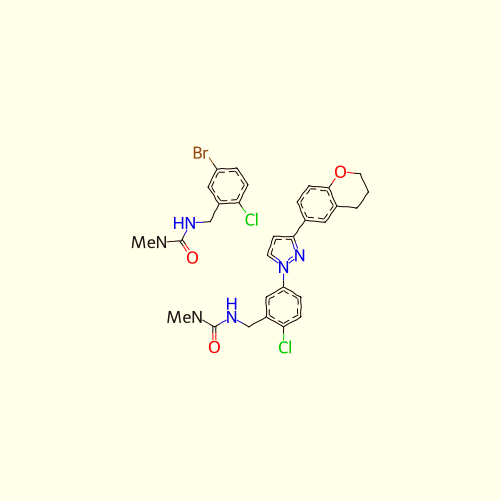 CNC(=O)NCc1cc(-n2ccc(-c3ccc4c(c3)CCCO4)n2)ccc1Cl.CNC(=O)NCc1cc(Br)ccc1Cl